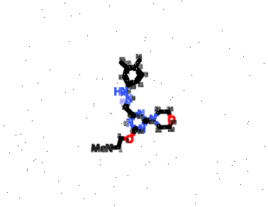 CNCCOc1nc(/C=N/Nc2ccc(C)c(C)c2)nc(N2CCOCC2)n1